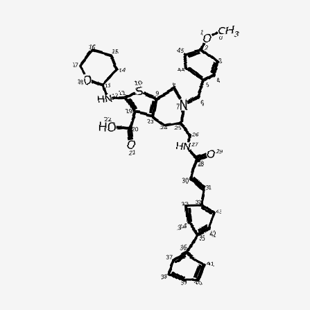 COc1ccc(CN2Cc3sc(NC4CCCCO4)c(C(=O)O)c3CC2CNC(=O)C=Cc2ccc(-c3ccccc3)cc2)cc1